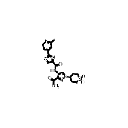 Cc1cc(-c2nc(C(=O)Nc3cn(C4CCS(=O)(=O)CC4)nc3C(N)=O)co2)ccn1